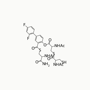 CC(=O)NC(CSC(=O)c1cc(-c2ccc(F)cc2F)ccc1OC(=O)C(CSC(=O)C(CS)NC(C)=O)NC(C)=O)C(N)=O